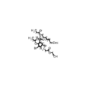 C#CCOC(=O)C=C.C=CC(=O)O.C=CC(=O)OCCCCCCCCCCCCCCCC.C=CC(=O)Oc1c(Br)cc(Br)cc1Br